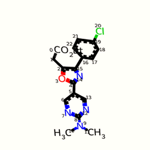 CCOC(=O)Cc1oc(-c2cnc(N(C)C)nc2)nc1-c1ccc(Cl)cc1